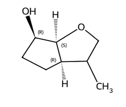 CC1CO[C@@H]2[C@H](O)CC[C@H]12